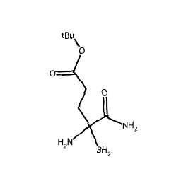 BC(N)(CCC(=O)OC(C)(C)C)C(N)=O